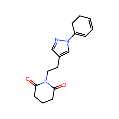 O=C1CCCC(=O)N1CCc1cnn(C2=CC=CCC2)c1